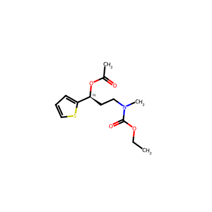 CCOC(=O)N(C)CC[C@H](OC(C)=O)c1cccs1